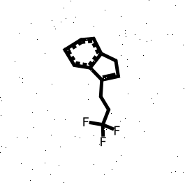 FC(F)(F)CCC1=CCc2ccccc21